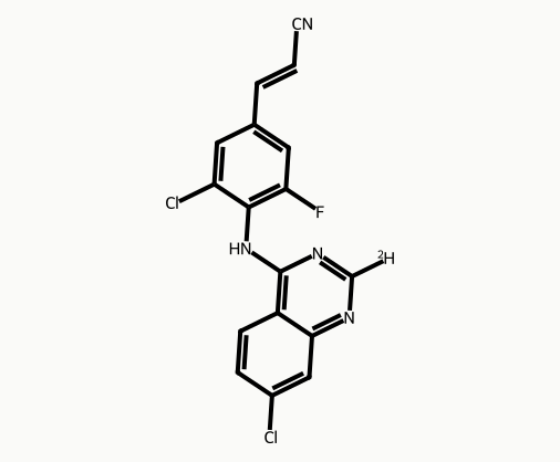 [2H]c1nc(Nc2c(F)cc(C=CC#N)cc2Cl)c2ccc(Cl)cc2n1